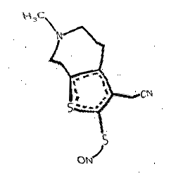 CN1CCc2c(sc(SN=O)c2C#N)C1